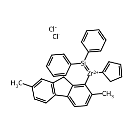 Cc1ccc2c(c1)Cc1c-2ccc(C)[c]1[Zr+2]([C]1=CC=CC1)=[Si](c1ccccc1)c1ccccc1.[Cl-].[Cl-]